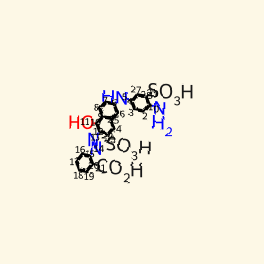 Nc1ccc(Nc2ccc3c(O)c(N=Nc4ccccc4C(=O)O)c(S(=O)(=O)O)cc3c2)cc1S(=O)(=O)O